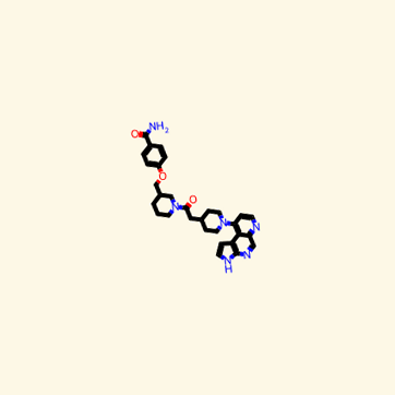 NC(=O)c1ccc(OCC2CCCN(C(=O)CC3CCN(c4ccnc5cnc6[nH]ccc6c45)CC3)C2)cc1